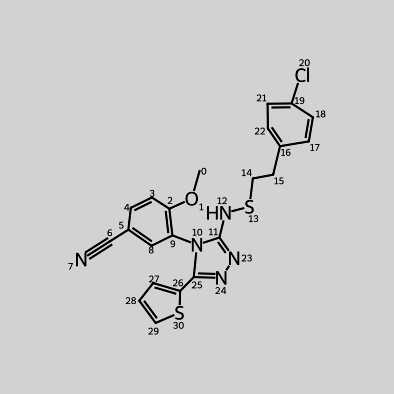 COc1ccc(C#N)cc1-n1c(NSCCc2ccc(Cl)cc2)nnc1-c1cccs1